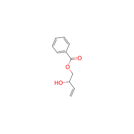 C=CC(O)COC(=O)c1ccccc1